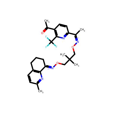 CC(=O)c1ccc(/C(C)=N\OCC(C)(C)CO/N=C2\CCCc3ccc(C)nc32)nc1C(F)(F)F